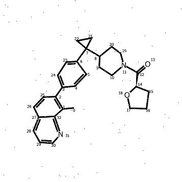 Cc1c(-c2ccc(C3(C4CCN(C(=O)[C@H]5CCCO5)CC4)CC3)cc2)ccc2cccnc12